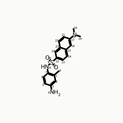 [CH2]c1cc(N)ccc1NS(=O)(=O)c1ccc2cc(N(C)C)ccc2c1